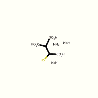 O=C(O)C(S)C(C(=O)O)S(=O)(=O)O.[NaH].[NaH].[NaH]